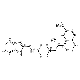 COc1ccc2nccc([C@@H](O)CN3CCC(NCc4cc5ncccc5[nH]4)CC3)c2c1